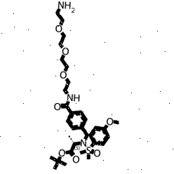 COc1ccc(S(C)(C)(=O)N(Cc2ccc(C(=O)NCCOCCOCCOCCN)cc2)[C@@H](C)C(=O)OC(C)(C)C)cc1